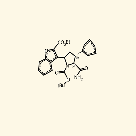 CCOC(=O)c1oc2ccccc2c1C1C[C@H](c2ccccc2)[C@@H](C(N)=O)N1C(=O)OC(C)(C)C